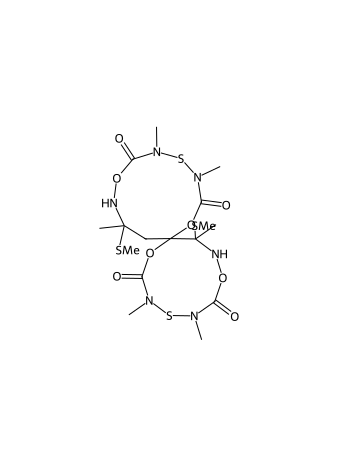 CSC1(C)CC2(OC(=O)N(C)SN(C)C(=O)ON1)OC(=O)N(C)SN(C)C(=O)ONC2(C)SC